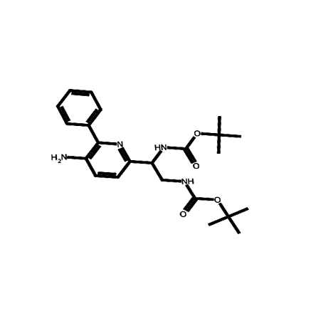 CC(C)(C)OC(=O)NCC(NC(=O)OC(C)(C)C)c1ccc(N)c(-c2ccccc2)n1